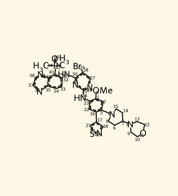 COc1cc(N2CCC(N3CCOCC3)CC2)c(-c2cnsc2)cc1Nc1ncc(Br)c(Nc2ccc3nccnc3c2P(C)(C)=O)n1